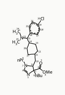 CCCCC1(C(=O)OC)N=CN(CCC)C1CC1CCC(C(c2ccc(Cl)cc2)N(C)C)CC1